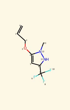 C=CCOC1=C[C](C(F)(F)F)NN1C